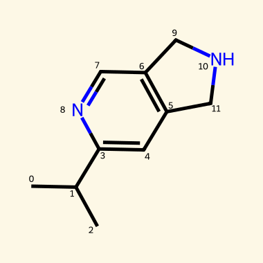 CC(C)c1cc2c(cn1)CNC2